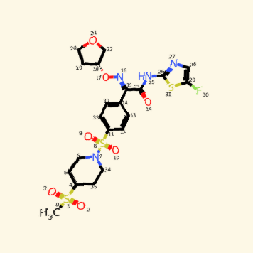 CS(=O)(=O)C1CCN(S(=O)(=O)c2ccc(/C(=N\O[C@@H]3CCOC3)C(=O)Nc3ncc(F)s3)cc2)CC1